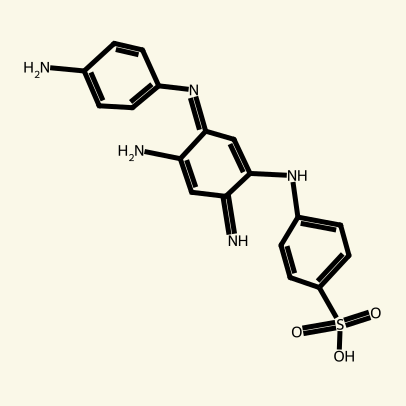 N=C1C=C(N)/C(=N\c2ccc(N)cc2)C=C1Nc1ccc(S(=O)(=O)O)cc1